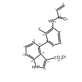 C=CC(=O)Nc1cccc(-c2ncnc3[nH]cc(C(=O)OCC)c23)c1C